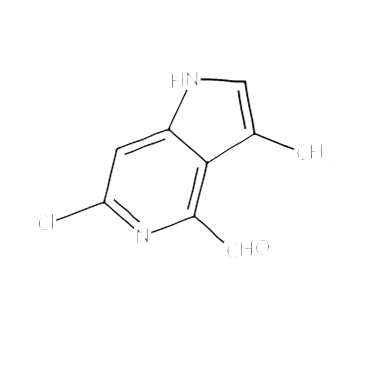 Cc1c[nH]c2cc(Cl)nc(C=O)c12